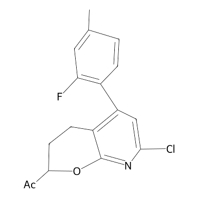 CC(=O)C1CCc2c(-c3ccc(C)cc3F)cc(Cl)nc2O1